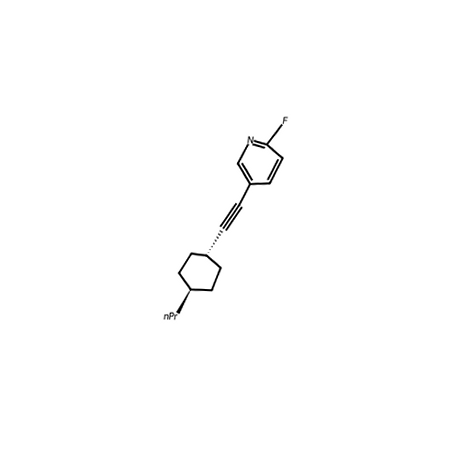 CCC[C@H]1CC[C@H](C#Cc2ccc(F)nc2)CC1